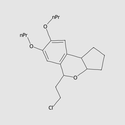 CCCOc1cc2c(cc1OCCC)C1CCCC1OC2CCCl